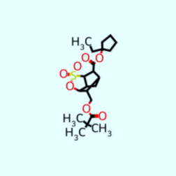 CCC1(OC(=O)C2C3CC4C(OS(=O)(=O)C42)C3COC(=O)C(C)(C)C)CCCC1